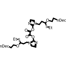 CCCCCCCCCCCCOC(CCn1ccnc1OC(=O)C(=O)Oc1nccn1CCC(OCCCCCCCCCCCC)SCC)SCC